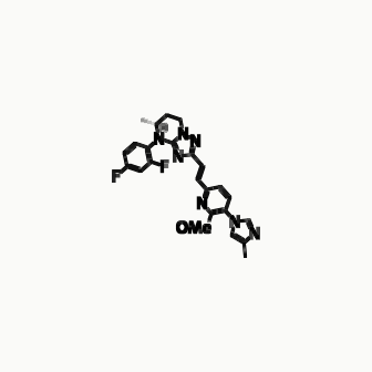 COc1nc(C=Cc2nc3n(n2)CC[C@@H](C)N3c2ccc(F)cc2F)ccc1-n1cnc(C)c1